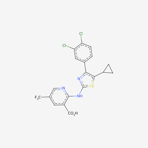 O=C(O)c1cc(C(F)(F)F)cnc1Nc1nc(-c2ccc(Cl)c(Cl)c2)c(C2CC2)s1